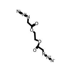 [N-]=[N+]=NCC(=O)OCCOC(=O)CN=[N+]=[N-]